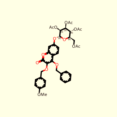 COc1ccc(COc2c(OCc3ccccc3)c3ccc(O[C@H]4O[C@H](COC(C)=O)[C@@H](OC(C)=O)[C@H](OC(C)=O)[C@@H]4OC(C)=O)cc3oc2=O)cc1